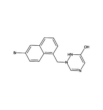 OC1=CN=CN(Cc2cccc3cc(Br)ccc23)N1